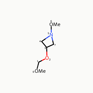 COCOC1CN(OC)C1